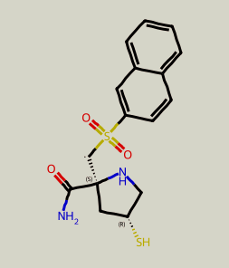 NC(=O)[C@]1([CH]S(=O)(=O)c2ccc3ccccc3c2)C[C@@H](S)CN1